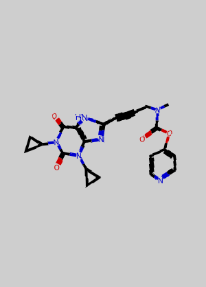 CN(CC#Cc1nc2c([nH]1)c(=O)n(C1CC1)c(=O)n2C1CC1)C(=O)Oc1ccncc1